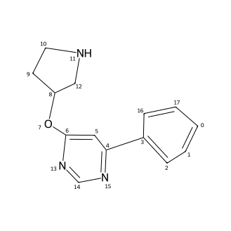 c1ccc(-c2cc(OC3CCNC3)ncn2)cc1